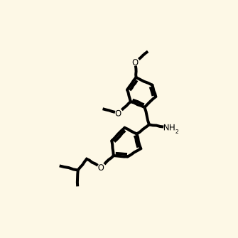 COc1ccc(C(N)c2ccc(OCC(C)C)cc2)c(OC)c1